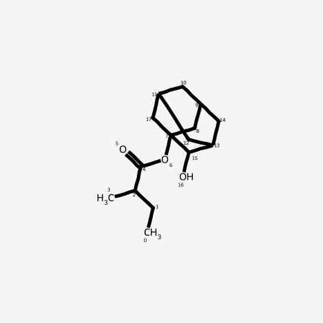 CCC(C)C(=O)OC12CC3CC(CC(C3)C1O)C2